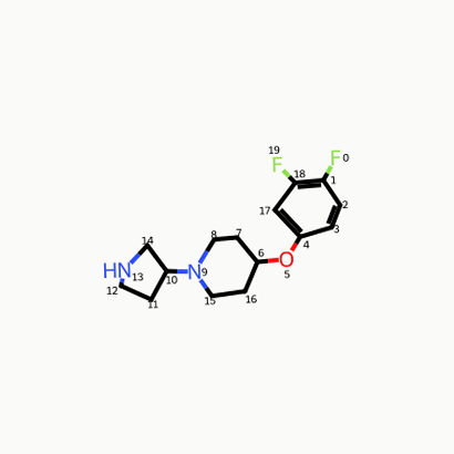 Fc1ccc(OC2CCN(C3CCNC3)CC2)cc1F